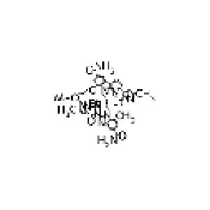 CCn1nc(C)cc1C(=O)Nc1nc2cc(C(N)=O)cc(C)c2n1CC=CCn1c2nc(-c3cc(C)nn3CC)ncc2c2cc(C(N)=O)cc(OCCCOC)c21